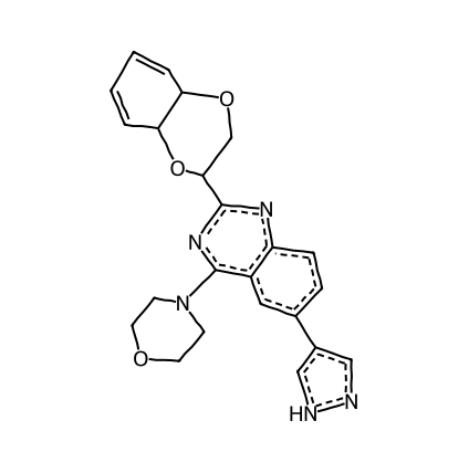 C1=CC2OCC(c3nc(N4CCOCC4)c4cc(-c5cn[nH]c5)ccc4n3)OC2C=C1